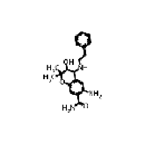 CC1(C)Oc2cc(C(N)=O)c(N)cc2C(NCCc2ccccc2)C1O